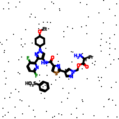 CCOC1CCC(n2cc(NC(=O)c3csc(-c4cnn(COC(=O)[C@@H](N)C(C)C)c4)n3)c(-c3nc(F)ccc3F)n2)CC1.O=S(=O)(O)c1ccccc1